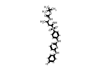 CC(CC(=N)S(=O)(=O)c1ccc(Nc2nccc(Nc3ccc(F)cc3)n2)cc1)NC(=O)OC(C)(C)C